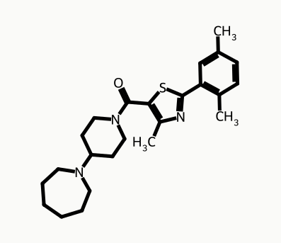 Cc1ccc(C)c(-c2nc(C)c(C(=O)N3CCC(N4CCCCCC4)CC3)s2)c1